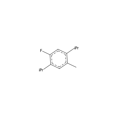 Cc1cc(C(C)C)c(F)cc1C(C)C